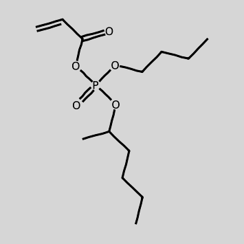 C=CC(=O)OP(=O)(OCCCC)OC(C)CCCC